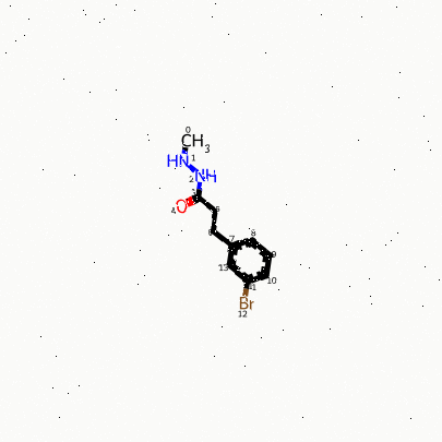 CNNC(=O)CCc1cccc(Br)c1